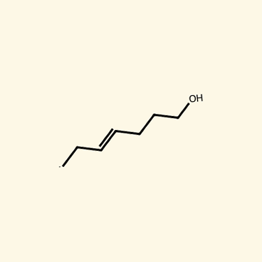 [CH2]CC=CCCCO